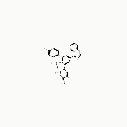 C[C@H]1C(=O)C(C#N)=C[C@]2(C)c3cc(-c4ncnc5ccccc45)cc(-c4ccc(F)cc4)c3NC[C@H]12